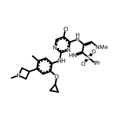 CN/C=C(/Nc1nc(Nc2cc(C)c(C3CN(C)C3)cc2OC2CC2)ncc1Cl)C(=N)S(=O)(=O)C(C)C